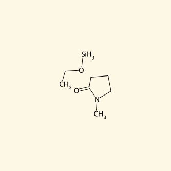 CCO[SiH3].CN1CCCC1=O